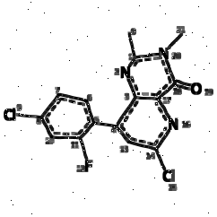 Cc1nc2c(-c3ccc(Cl)cc3F)cc(Cl)nc2c(=O)n1C